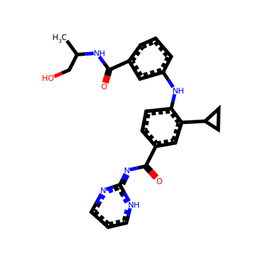 CC(CO)NC(=O)c1cccc(Nc2ccc(C(=O)N=c3nccc[nH]3)cc2C2CC2)c1